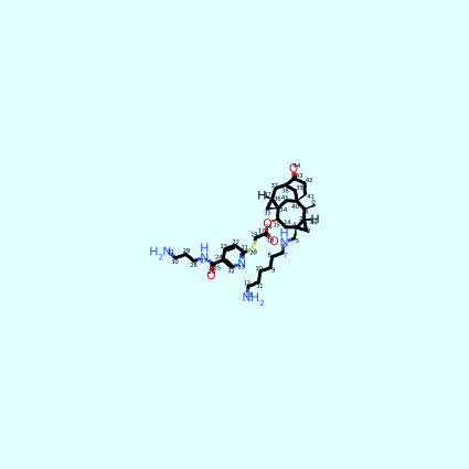 C[C@H]1[C@@H]2C[C@]2(CNCCCCCCN)C[C@@H](OC(=O)CSc2ccc(C(=O)NCCCN)cn2)[C@]23C[C@@H]2CC2C[C@@]1(CCC2=O)C3